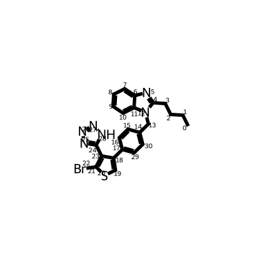 CCCCc1nc2ccccc2n1Cc1ccc(-c2csc(Br)c2-c2nnn[nH]2)cc1